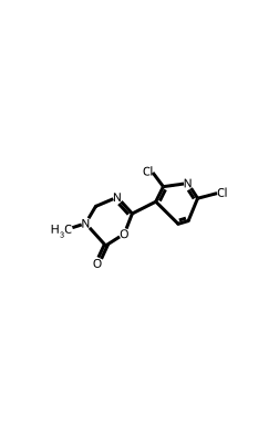 CN1CN=C(c2ccc(Cl)nc2Cl)OC1=O